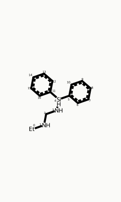 CCNCN[SiH](c1ccccc1)c1ccccc1